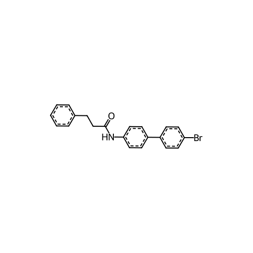 O=C(CCc1ccccc1)Nc1ccc(-c2ccc(Br)cc2)cc1